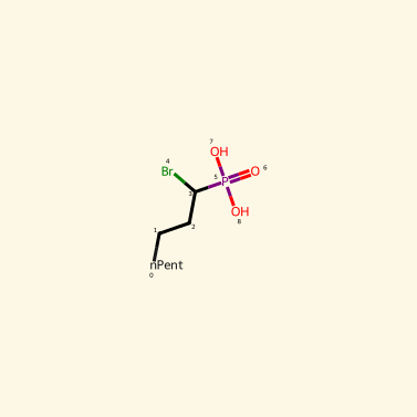 CCCCCCCC(Br)P(=O)(O)O